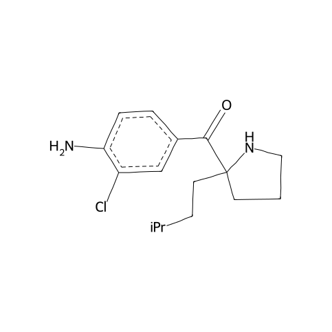 CC(C)CCC1(C(=O)c2ccc(N)c(Cl)c2)CCCN1